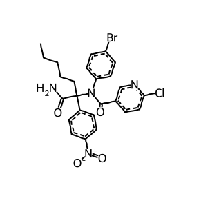 CCCCCC(C(N)=O)(c1ccc([N+](=O)[O-])cc1)N(C(=O)c1ccc(Cl)nc1)c1ccc(Br)cc1